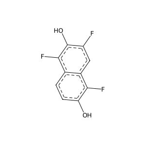 Oc1ccc2c(F)c(O)c(F)cc2c1F